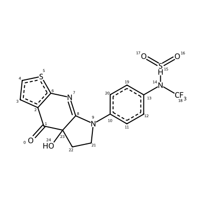 O=C1c2ccsc2N=C2N(c3ccc(N([SH](=O)=O)C(F)(F)F)cc3)CCC12O